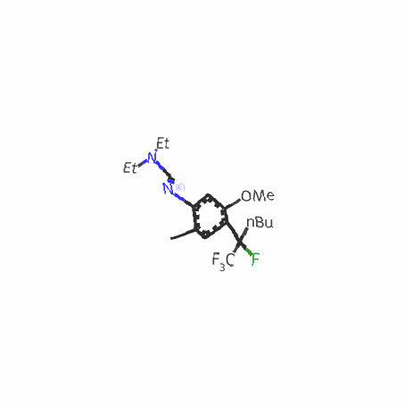 CCCCC(F)(c1cc(C)c(/N=C/N(CC)CC)cc1OC)C(F)(F)F